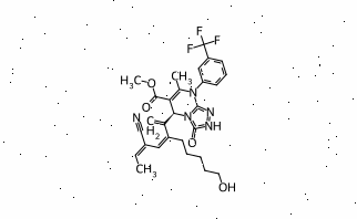 C=C(/C(=C\C(C#N)=C/C)CCCCCO)[C@H]1C(C(=O)OC)=C(C)N(c2cccc(C(F)(F)F)c2)c2n[nH]c(=O)n21